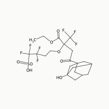 CCOC(=O)C(CC(=O)C12CC3CC(CC(O)(C3)C1)C2)(OCCC(F)(F)C(F)(F)S(=O)(=O)O)C(F)(F)F